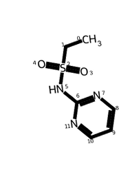 CCS(=O)(=O)Nc1ncccn1